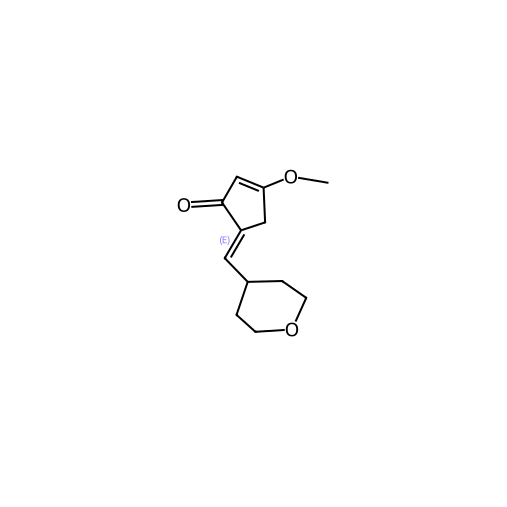 COC1=CC(=O)/C(=C/C2CCOCC2)C1